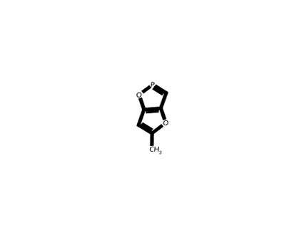 Cc1cc2opcc2o1